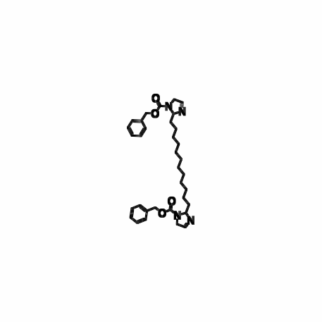 O=C(OCc1ccccc1)N1CC=NC1CCCCCCCCCCCCC1N=CCN1C(=O)OCc1ccccc1